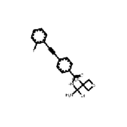 CC1(C(N)(O)NC(=O)c2ccc(C#Cc3ccccc3F)cc2)COC1